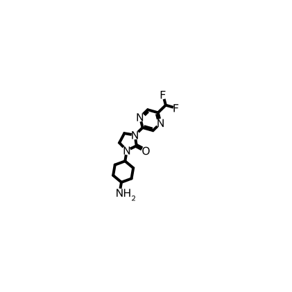 NC1CCC(N2CCN(c3cnc(C(F)F)cn3)C2=O)CC1